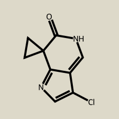 O=C1NC=C2C(Cl)=CN=C2C12CC2